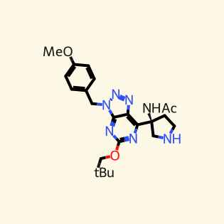 COc1ccc(Cn2nnc3c([C@]4(NC(C)=O)CCNC4)nc(OCC(C)(C)C)nc32)cc1